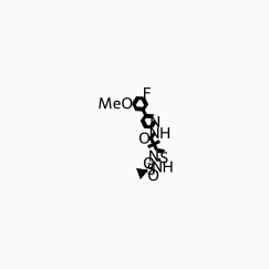 COc1cc(F)cc(-c2ccc(NC(=O)C(C)(C)c3csc(NS(=O)(=O)C4CC4)n3)nc2)c1